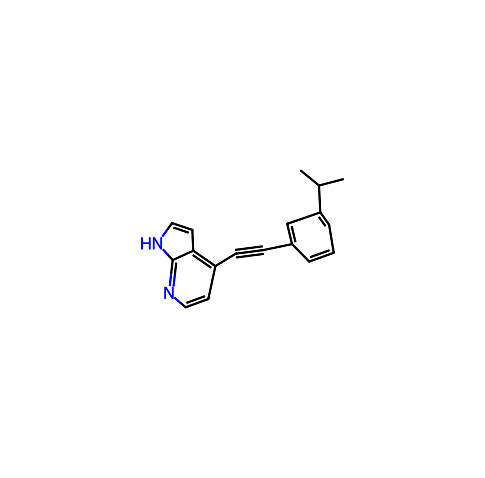 CC(C)c1cccc(C#Cc2ccnc3[nH]ccc23)c1